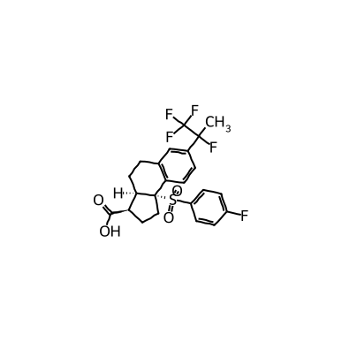 CC(F)(c1ccc2c(c1)CC[C@@H]1[C@H](C(=O)O)CC[C@]21S(=O)(=O)c1ccc(F)cc1)C(F)(F)F